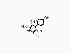 CC1=C(C#N)C(c2ccc(O)cc2)C(C#N)=C(C)N1